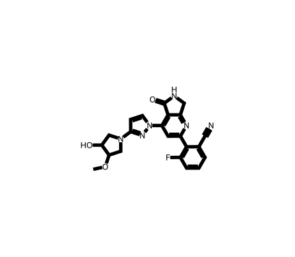 COC1CN(c2ccn(-c3cc(-c4c(F)cccc4C#N)nc4c3C(=O)NC4)n2)CC1O